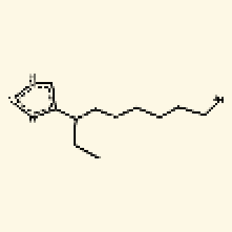 [2H]CCCCCCC(CC)c1c[nH]nn1